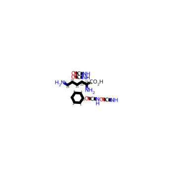 C1CCCCC1.N=C=O.N=C=O.N=C=O.N=C=O.NCCCCC(N)C(=O)O